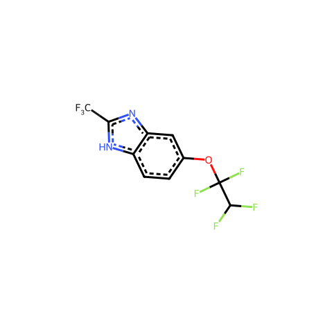 FC(F)C(F)(F)Oc1ccc2[nH]c(C(F)(F)F)nc2c1